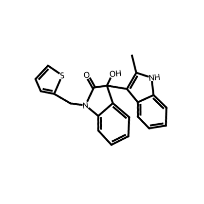 Cc1[nH]c2ccccc2c1C1(O)C(=O)N(Cc2cccs2)c2ccccc21